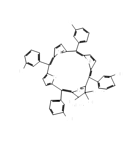 CCCCCCC1(O)c2nc(c(-c3cccc(O)c3)c3ccc([nH]3)c(-c3cccc(O)c3)c3nc(c(-c4cccc(O)c4)c4ccc([nH]4)c2-c2cccc(O)c2)C=C3)[C@@]1(O)CCCCCC